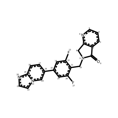 O=C1c2cccnc2CN1Cc1c(F)cc(-c2ccc3nccn3c2)cc1F